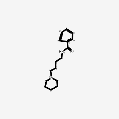 O=C(NCCCCN1CC[CH]CC1)c1ccccc1